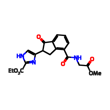 CCOC(=O)c1nc(C2Cc3c(C(=O)NCC(=O)OC)cccc3C2=O)c[nH]1